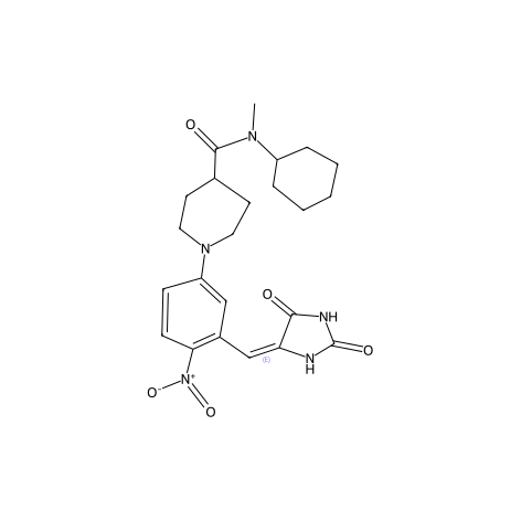 CN(C(=O)C1CCN(c2ccc([N+](=O)[O-])c(/C=C3/NC(=O)NC3=O)c2)CC1)C1CCCCC1